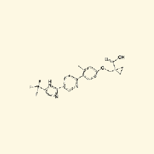 Cc1cc(OCC2(C(=O)O)CC2)ccc1-c1ccc(-c2ncc(C(F)(F)F)[nH]2)cn1